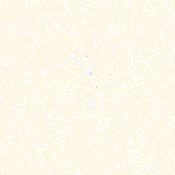 CC(C)(O)c1cc2nc([C@H]3CC[C@H](I)CC3)sc2cc1NC(=O)c1cccc(C(F)F)n1